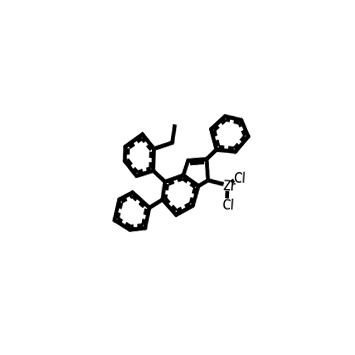 CCc1ccccc1-c1c(-c2ccccc2)ccc2c1C=C(c1ccccc1)[CH]2[Zr]([Cl])[Cl]